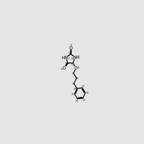 O=C1NC(=O)C(OCCCc2ccccc2)N1